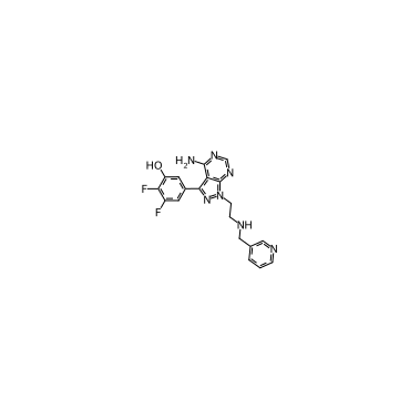 Nc1ncnc2c1c(-c1cc(O)c(F)c(F)c1)nn2CCNCc1cccnc1